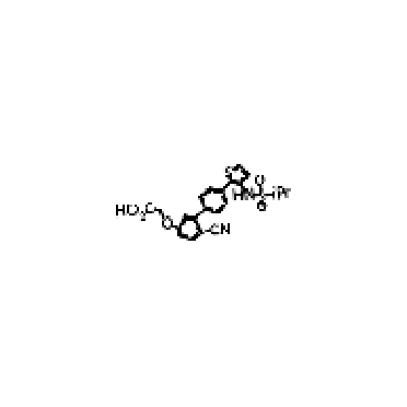 CC(C)S(=O)(=O)Nc1ccsc1-c1ccc(-c2cc(OCC(=O)O)ccc2C#N)cc1